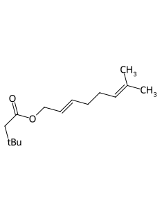 CC(C)=CCCC=CCOC(=O)CC(C)(C)C